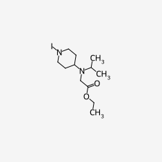 CCOC(=O)CN(C(C)C)C1CCN(I)CC1